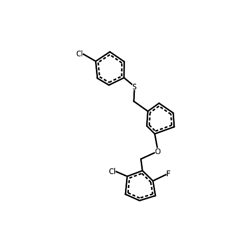 Fc1cccc(Cl)c1COc1cccc(CSc2ccc(Cl)cc2)c1